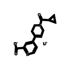 O=C([O-])c1cc(C2=CCN(C(=O)C3CC3)CC2)ccn1.[Li+]